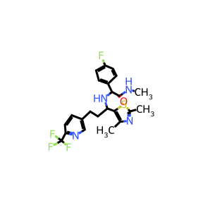 CNC(=O)C(NC(CCc1ccc(C(F)(F)F)nc1)c1sc(C)nc1C)c1ccc(F)cc1